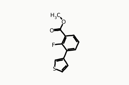 COC(=O)c1cccc(-c2ccsc2)c1F